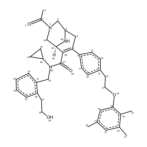 CC(=O)N1CC2CC(c3ccc(CCOc4cc(C)cc(C)c4C)cc3)=C(C(=O)N(Cc3ccccc3CCO)C3CC3)[C@@H](C1)N2